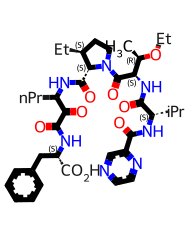 CCCC(NC(=O)[C@@H]1[C@@H](CC)CCN1C(=O)[C@@H](NC(=O)[C@@H](NC(=O)c1cnccn1)C(C)C)[C@@H](C)OCC)C(=O)C(=O)N[C@@H](Cc1ccccc1)C(=O)O